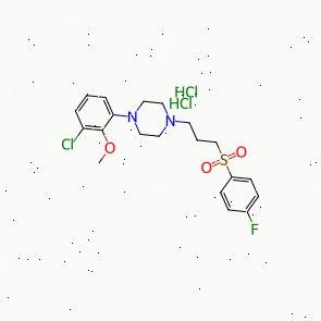 COc1c(Cl)cccc1N1CCN(CCCS(=O)(=O)c2ccc(F)cc2)CC1.Cl.Cl